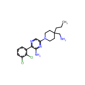 CCCC1(CN)CCN(c2cnc(-c3cccc(Cl)c3Cl)c(N)n2)CC1